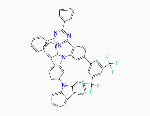 FC(F)(F)c1cc(-c2ccc(-c3nc(-c4ccccc4)nc(-c4ccccc4)n3)c(-n3c4ccccc4c4ccc(-n5c6ccccc6c6ccccc65)cc43)c2)cc(C(F)(F)F)c1